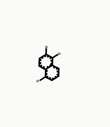 Brc1c[c]c2c(Br)cccc2c1Br